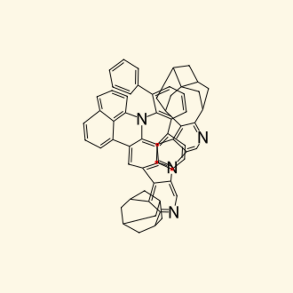 c1ccc(-c2cccc(-c3ccccc3)c2-n2c3cccc4cccc(c5cc6c7c8c(ncc7n7c9cnc%10c(c9c(c52)c67)C2CC5CC6CC%10CC65C2)C2CC5CC(C2)CC8C5)c43)cc1